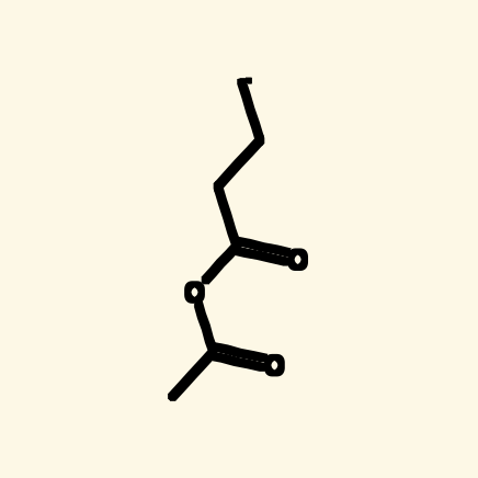 [CH2]CCC(=O)OC(C)=O